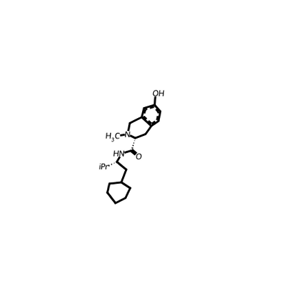 CC(C)[C@@H](CC1CCCCC1)NC(=O)[C@H]1Cc2ccc(O)cc2CN1C